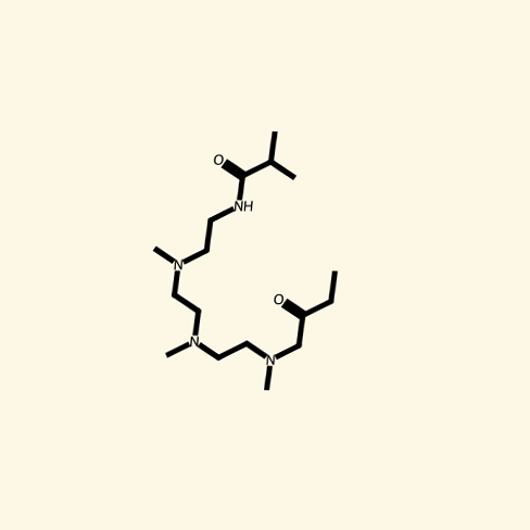 CCC(=O)CN(C)CCN(C)CCN(C)CCNC(=O)C(C)C